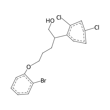 OCC(CCCOc1ccccc1Br)c1ccc(Cl)cc1Cl